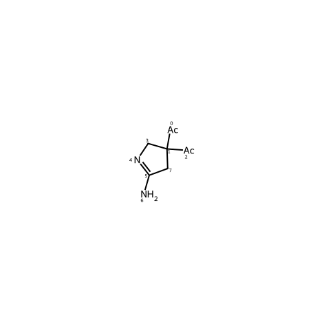 CC(=O)C1(C(C)=O)CN=C(N)C1